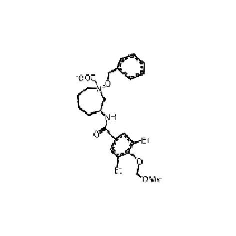 CCc1cc(C(=O)NC2CCCC[N+](OCc3ccccc3)(C(=O)[O-])C2)cc(CC)c1OCOC